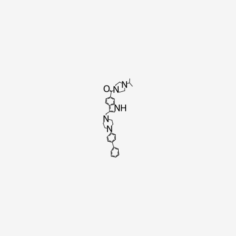 CC(C)N1CCN(C(=O)c2ccc3c(CN4CCN(c5ccc(-c6ccccc6)cc5)CC4)c[nH]c3c2)CC1